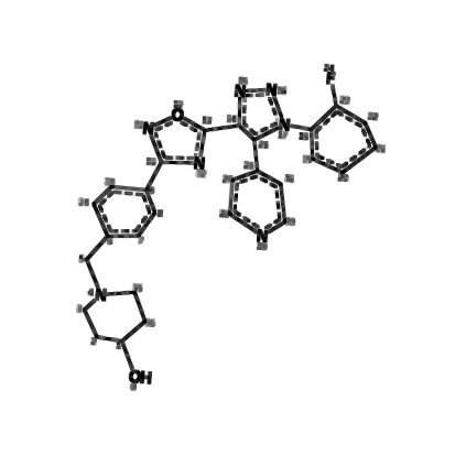 OC1CCN(Cc2ccc(-c3noc(-c4nnn(-c5ccccc5F)c4-c4ccncc4)n3)cc2)CC1